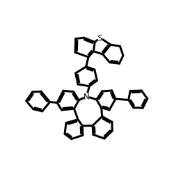 C1=Cc2c(sc3cccc(-c4ccc(-n5c6ccc(-c7ccccc7)cc6c6ccccc6c6ccccc6c6cc(-c7ccccc7)ccc65)cc4)c23)CC1